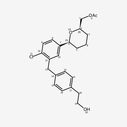 CC(=O)OC[C@H]1[CH][CH][CH][C@@H](c2ccc(Cl)c(Cc3ccc(CCO)cc3)c2)O1